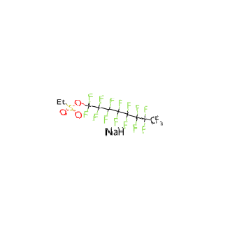 CCS(=O)(=O)OC(F)(F)C(F)(F)C(F)(F)C(F)(F)C(F)(F)C(F)(F)C(F)(F)C(F)(F)F.[NaH]